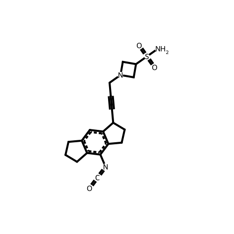 NS(=O)(=O)C1CN(CC#CC2CCc3c2cc2c(c3N=C=O)CCC2)C1